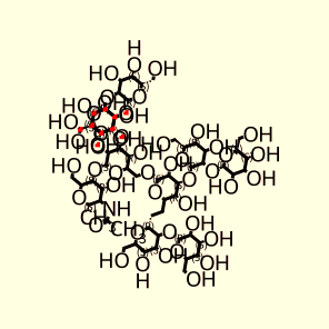 CC(=O)NC1[C@H](C)OC(CO)[C@@H](O[C@@H]2OC(CO[C@H]3OC(CC[C@H]4OC(CO)[C@@H](O)[C@H](O)C4O[C@H]4OC(CO)[C@@H](O)[C@H](O)C4O)[C@@H](O)[C@H](O[C@H]4O[C@@H](CO)[C@@H](O)C(O)C4O[C@H]4O[C@@H](CO)[C@@H](O)C(O)C4O)C3O)[C@@H](O)[C@H](O[C@H]3O[C@@H](CO)[C@@H](O)C(O)C3O[C@H]3O[C@@H](CO)[C@@H](O)C(O)C3O[C@H]3O[C@@H](CO)[C@@H](O)C(O)C3O)C2O)[C@@H]1O